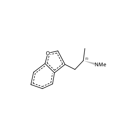 CN[C@@H](C)Cc1coc2ccccc12